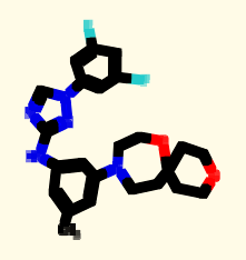 Cc1cc(Nc2ncn(-c3cc(F)cc(F)c3)n2)cc(N2CCOC3(CCOCC3)CC2)c1